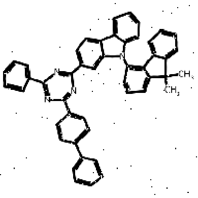 CC1(C)c2ccccc2-c2c(-n3c4ccccc4c4ccc(-c5nc(-c6ccccc6)nc(-c6ccc(-c7ccccc7)cc6)n5)cc43)cccc21